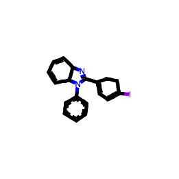 IC1=CC=C(C2=NC3C=CC=CC3N2c2ccccc2)CC1